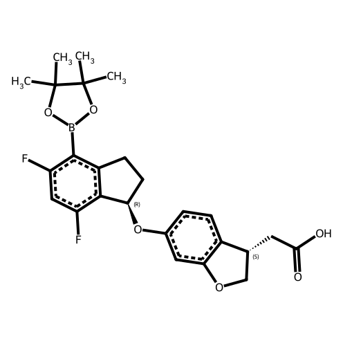 CC1(C)OB(c2c(F)cc(F)c3c2CC[C@H]3Oc2ccc3c(c2)OC[C@H]3CC(=O)O)OC1(C)C